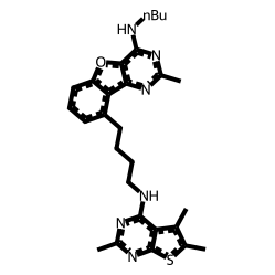 CCCCNc1nc(C)nc2c1oc1cccc(CCCCNc3nc(C)nc4sc(C)c(C)c34)c12